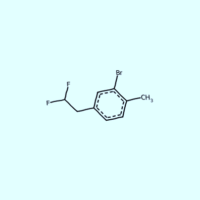 Cc1ccc(CC(F)F)cc1Br